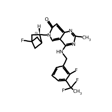 Cc1nc(NCc2cccc(C(C)(F)F)c2F)c2cn([C@H]3CC4(F)CC3C4)c(=O)cc2n1